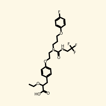 CCOC(Cc1ccc(OCCN(CCCOc2ccc(F)cc2)C(=O)NCC(F)(F)F)cc1)C(=O)O